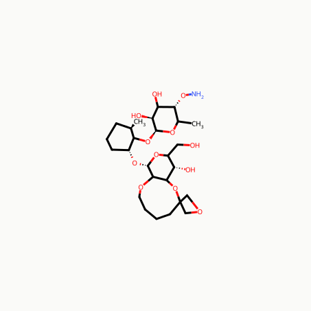 CC1O[C@@H](OC2[C@H](C)CCC[C@H]2O[C@@H]2OC(CO)[C@H](O)C3OC4(CCCCOC32)COC4)[C@@H](O)C(O)[C@@H]1ON